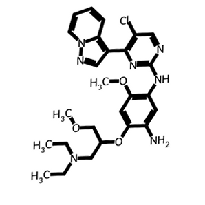 CCN(CC)CC(COC)Oc1cc(OC)c(Nc2ncc(Cl)c(-c3cnn4ccccc34)n2)cc1N